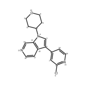 Clc1cc(-c2cn(C3CCOCC3)c3cnccc23)ccn1